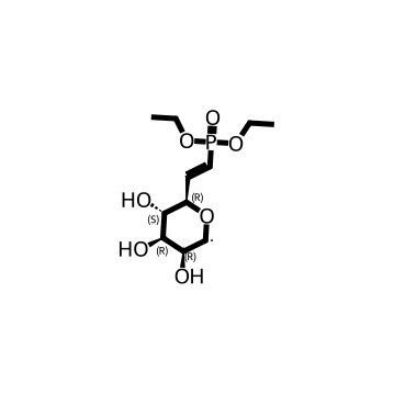 CCOP(=O)(C=C[C@H]1O[CH][C@@H](O)[C@@H](O)[C@@H]1O)OCC